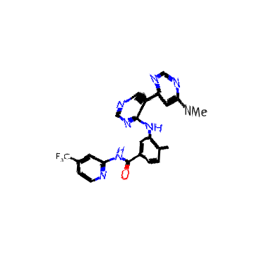 CNc1cc(-c2cncnc2Nc2cc(C(=O)Nc3cc(C(F)(F)F)ccn3)ccc2C)ncn1